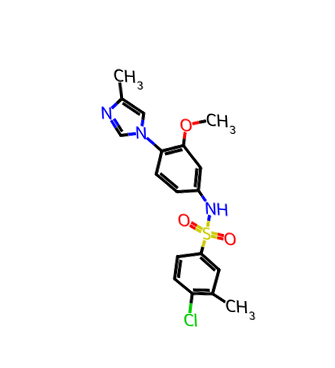 COc1cc(NS(=O)(=O)c2ccc(Cl)c(C)c2)ccc1-n1cnc(C)c1